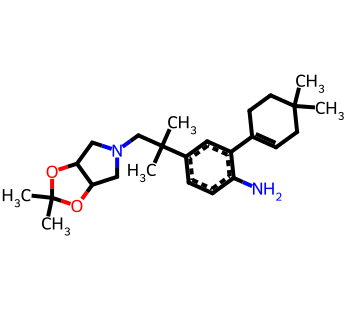 CC1(C)CC=C(c2cc(C(C)(C)CN3CC4OC(C)(C)OC4C3)ccc2N)CC1